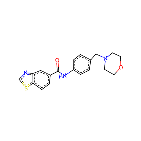 O=C(Nc1ccc(CN2CCOCC2)cc1)c1ccc2scnc2c1